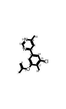 C=C(C)Oc1cc(-c2cc(C)ncn2)cc(Cl)c1C